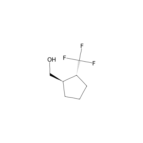 OC[C@@H]1CCC[C@H]1C(F)(F)F